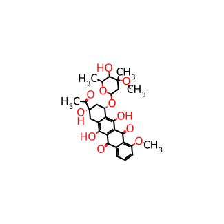 COc1cccc2c1C(=O)c1c(O)c3c(c(O)c1C2=O)C[C@@](O)(C(C)=O)C[C@@H]3OC1CC(C)(OC)C(O)C(C)O1